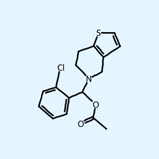 CC(=O)OC(c1ccccc1Cl)N1CCc2sccc2C1